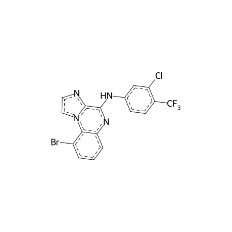 FC(F)(F)c1ccc(Nc2nc3cccc(Br)c3n3ccnc23)cc1Cl